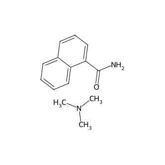 CN(C)C.NC(=O)c1cccc2ccccc12